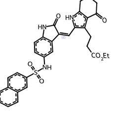 CCOC(=O)CCc1c(/C=C2\C(=O)Nc3ccc(NS(=O)(=O)c4ccc5ccccc5c4)cc32)[nH]c2c1C(=O)CCC2